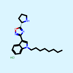 CCCCCCCCn1cc(-c2noc([C@@H]3CCCN3)n2)c2ccccc21.Cl